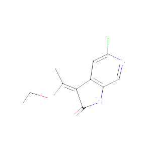 CCO/C(C)=C1\C(=O)Nc2cnc(Cl)cc21